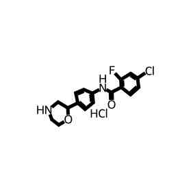 Cl.O=C(Nc1ccc(C2CNCCO2)cc1)c1ccc(Cl)cc1F